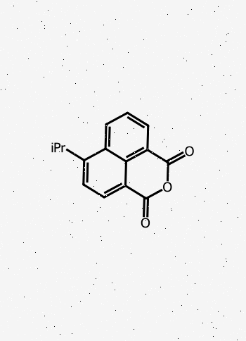 CC(C)c1ccc2c3c(cccc13)C(=O)OC2=O